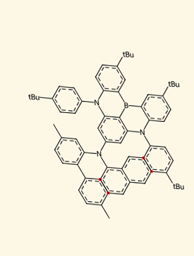 Cc1ccc(-c2ccc(C)cc2N(c2cc3c4c(c2)N(c2ccc(C(C)(C)C)cc2)c2ccc(C(C)(C)C)cc2B4c2cc(C(C)(C)C)ccc2N3c2ccc(C(C)(C)C)cc2)c2cccc3ccccc23)cc1